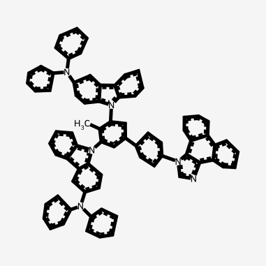 Cc1c(-n2c3ccccc3c3cc(N(c4ccccc4)c4ccccc4)ccc32)cc(-c2ccc(-n3cnc4c5ccccc5c5ccccc5c43)cc2)cc1-n1c2ccccc2c2cc(N(c3ccccc3)c3ccccc3)ccc21